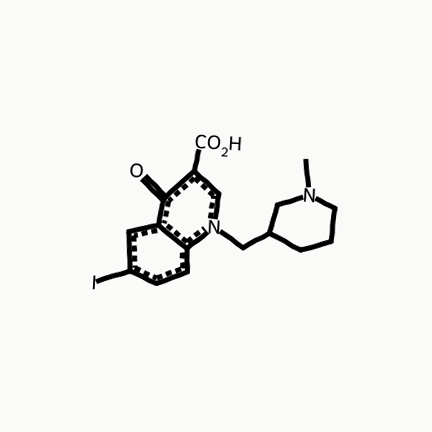 CN1CCCC(Cn2cc(C(=O)O)c(=O)c3cc(I)ccc32)C1